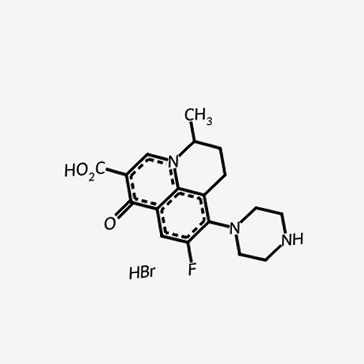 Br.CC1CCc2c(N3CCNCC3)c(F)cc3c(=O)c(C(=O)O)cn1c23